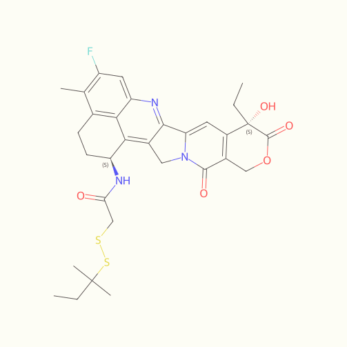 CCC(C)(C)SSCC(=O)N[C@H]1CCc2c(C)c(F)cc3nc4c(c1c23)Cn1c-4cc2c(c1=O)COC(=O)[C@]2(O)CC